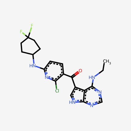 CCNc1ncnc2[nH]cc(C(=O)c3ccc(NC4CCC(F)(F)CC4)nc3Cl)c12